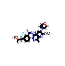 COc1nc2c(C)nnc(N[C@H](C)c3cccc(C(F)(F)C(C)O)c3F)c2cc1N1CC2CC1CO2